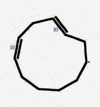 [CH]1C/C=C/C/C=C\CCCC1